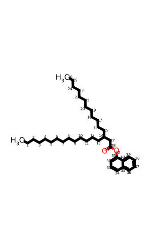 CCCCCCCCCCCCCCC(CCCCCCCCCCCC)CC(=O)Oc1cccc2ccccc12